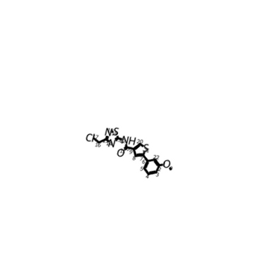 COc1cccc(-c2cc(C(=O)Nc3nc(CCl)ns3)cs2)c1